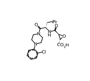 CC(C)C[C@H](NC(=O)[C@H]1O[C@@H]1C(=O)O)C(=O)N1CCN(c2ccccc2Cl)CC1